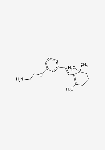 CC1=C(C=Cc2cccc(OCCN)c2)C(C)(C)CCC1